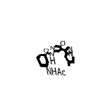 CC(=O)NC1CCC[C@@H](C(=O)Nc2cc(-c3cnn4c3CC(C)CC4)c(Cl)cn2)C1